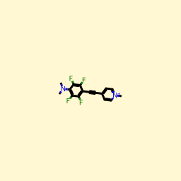 CN(C)c1c(F)c(F)c(C#Cc2cc[n+](C)cc2)c(F)c1F